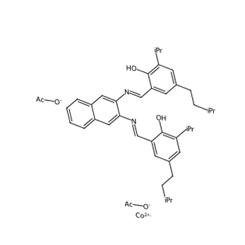 CC(=O)[O-].CC(=O)[O-].CC(C)CCc1cc(C=Nc2cc3ccccc3cc2N=Cc2cc(CCC(C)C)cc(C(C)C)c2O)c(O)c(C(C)C)c1.[Co+2]